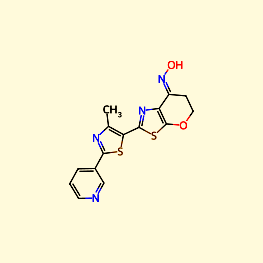 Cc1nc(-c2cccnc2)sc1-c1nc2c(s1)OCC/C2=N\O